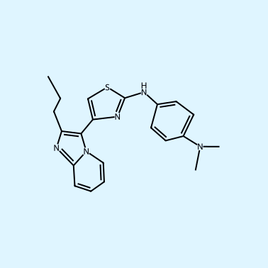 CCCc1nc2ccccn2c1-c1csc(Nc2ccc(N(C)C)cc2)n1